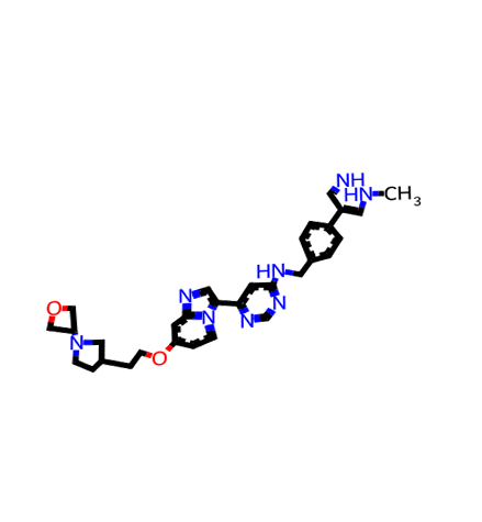 CN/C=C(\C=N)c1ccc(CNc2cc(-c3cnc4cc(OCCC5CCN(C6COC6)C5)ccn34)ncn2)cc1